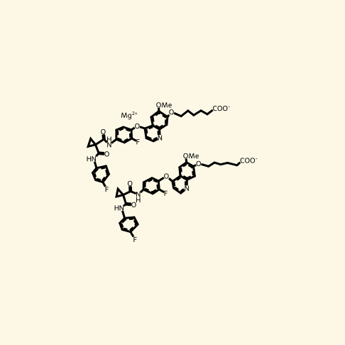 COc1cc2c(Oc3ccc(NC(=O)C4(C(=O)Nc5ccc(F)cc5)CC4)cc3F)ccnc2cc1OCCCCCC(=O)[O-].COc1cc2c(Oc3ccc(NC(=O)C4(C(=O)Nc5ccc(F)cc5)CC4)cc3F)ccnc2cc1OCCCCCC(=O)[O-].[Mg+2]